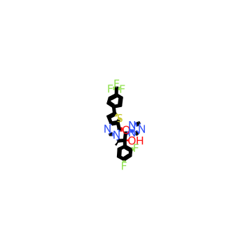 C[C@@H](n1cnc2cc(-c3ccc(C(F)(F)F)cc3)sc2c1=O)[C@](O)(Cn1cncn1)c1ccc(F)cc1F